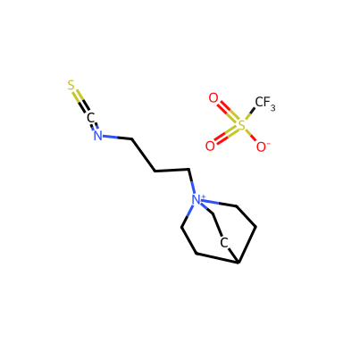 O=S(=O)([O-])C(F)(F)F.S=C=NCCC[N+]12CCC(CC1)CC2